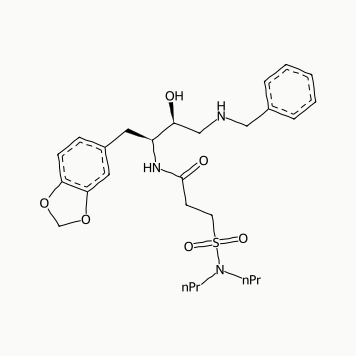 CCCN(CCC)S(=O)(=O)CCC(=O)N[C@@H](Cc1ccc2c(c1)OCO2)[C@@H](O)CNCc1ccccc1